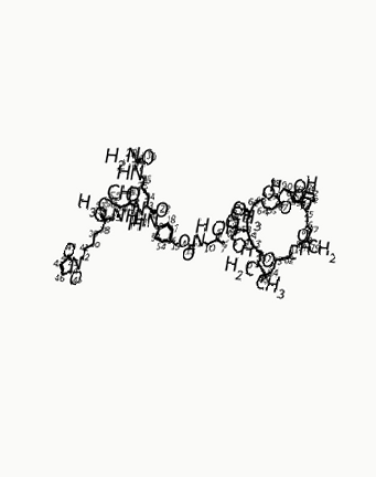 C=C1C2C[C@@H]3O[C@H](CC(O)CNC(=O)OCc4ccc(NC(=O)C(CCCNC(N)=O)NC(=O)[C@@H](NC(=O)CCCCCN5C(=O)C=CC5=O)C(C)C)cc4)[C@H](OC)C3CC(=O)CC3CCC4OC5C6O[C@@H]7C[C@](CCC8CC(=C)[C@H](CCC(C[C@H]1C)O2)O8)(OC6[C@H]4O3)OC57